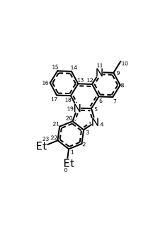 CCc1cc2nc3c4ccc(C)nc4c4ccccc4n3c2cc1CC